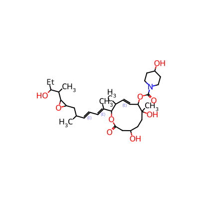 CCC(O)C(C)C1OC1CC(C)/C=C/C=C(\C)C1OC(=O)CC(O)CCC(C)(O)C(OC(=O)N2CCC(O)CC2)/C=C/C1C